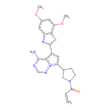 C=CC(=O)N1CCC(c2cc(-c3nc4cc(OC)cc(OC)c4s3)c3c(N)ncnn23)C1